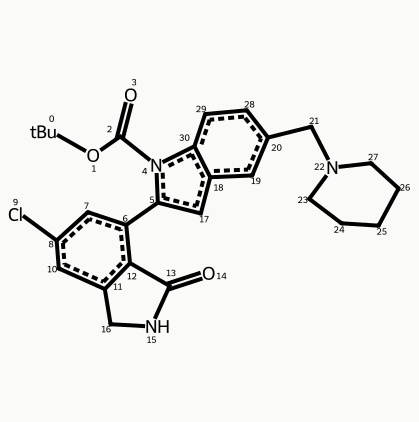 CC(C)(C)OC(=O)n1c(-c2cc(Cl)cc3c2C(=O)NC3)cc2cc(CN3CCCCC3)ccc21